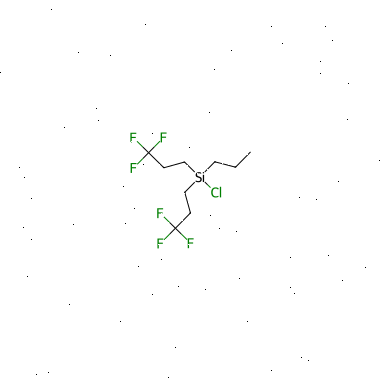 CCC[Si](Cl)(CCC(F)(F)F)CCC(F)(F)F